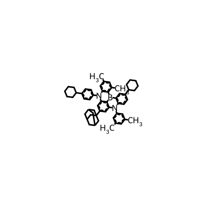 Cc1cc(C)cc(N2c3ccc(C4CCCCC4)cc3B3c4c(C)cc(C)cc4N(c4ccc(C5CCCCC5)cc4)c4cc(C56CC7CC(CC(C7)C5)C6)cc2c43)c1